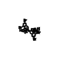 O=C(O)/C(Cc1cc(Br)cc(Br)c1O)=C(\Cc1cc(Br)cc(Br)c1O)C(=O)O